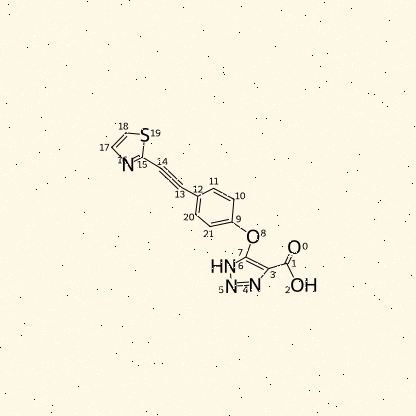 O=C(O)c1nn[nH]c1Oc1ccc(C#Cc2nccs2)cc1